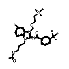 CC(=O)OCCCn1/c(=N/C(=O)c2cccc(C(F)(F)F)c2)n(COCC[Si](C)(C)C)c2cc(I)ccc21